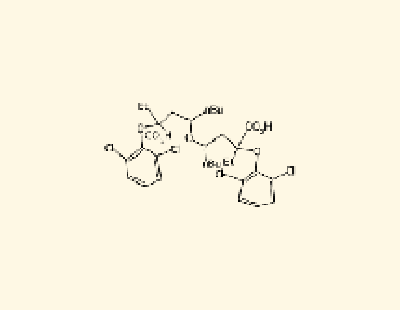 CCCCC(CC(CC)(Oc1c(Cl)cccc1Cl)C(=O)O)OC(CCCC)CC(CC)(Oc1c(Cl)cccc1Cl)C(=O)O